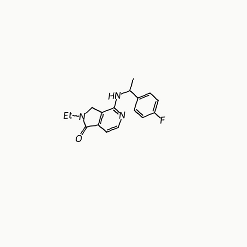 CCN1Cc2c(ccnc2NC(C)c2ccc(F)cc2)C1=O